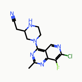 Cc1nc(N2CCNC(CC#N)C2)c2cnc(Cl)c(F)c2n1